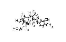 Cc1ccc(Nc2ncc(F)c(NC3CC(C)(C)N(CCC(=O)O)C(C)(C)C3)n2)cc1C#N